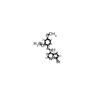 COc1ccc(CNc2ncnn3c(Br)ccc23)c(OC)c1